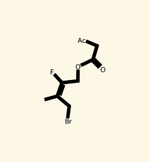 CC(=O)CC(=O)OCC(F)=C(C)CBr